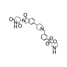 O=C1CCC(N2Cc3cc(C4CCN(Cc5cccc(S(=O)(=O)C6CNCCO6)c5)CC4)ccc3C2=O)C(=O)N1